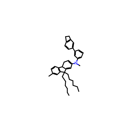 CCCCCCC1(CCCCCC)C2=CC(N(C)c3cccc(-c4ccc5c(c4)CC5)c3)=CCC2c2ccc(C)cc21